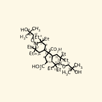 CCC1(CC)CC(C(CCC(=O)O)(C(=O)O)C2CC(CC)(CC)N(OCC(C)(C)O)C(CC)(CC)C2)CC(CC)(CC)N1OCC(C)(C)O